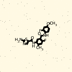 COc1ccc(NC(=O)c2cc(NC(=O)c3cnc(N)s3)c(C)cc2F)c(F)c1